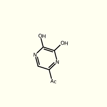 CC(=O)c1cnc(O)c(O)n1